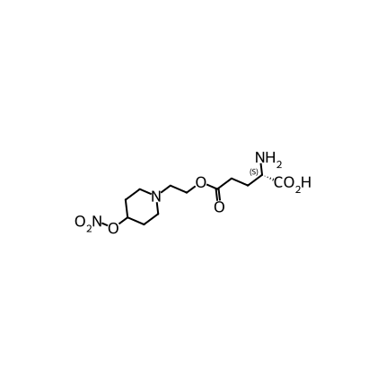 N[C@@H](CCC(=O)OCCN1CCC(O[N+](=O)[O-])CC1)C(=O)O